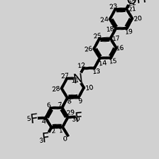 Cc1c(F)c(F)cc(C2=CCN(CCc3ccc(-c4ccc(O)cc4)cc3)CC2)c1F